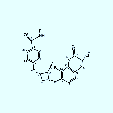 CNC(=O)c1ccc(O[C@H]2CN(Cc3ccc4cc(Cl)c(=O)[nH]c4c3F)[C@@H]2C)cn1